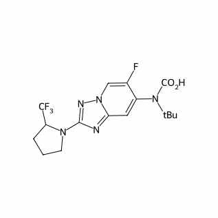 CC(C)(C)N(C(=O)O)c1cc2nc(N3CCCC3C(F)(F)F)nn2cc1F